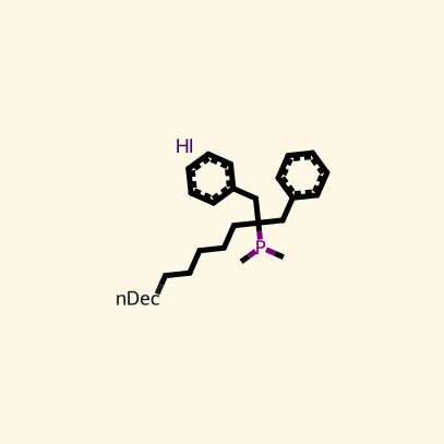 CCCCCCCCCCCCCCCC(Cc1ccccc1)(Cc1ccccc1)P(C)C.I